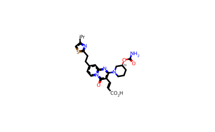 CC(C)c1csc(CCc2ccn3c(=O)c(C=CC(=O)O)c(N4CCC[C@H](OC(N)=O)C4)nc3c2)n1